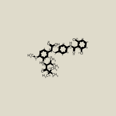 COc1ccc([C@@H](Cc2ccc(NC(=O)c3c(Cl)cccc3Cl)cc2)C(=O)O)cc1NC(C(=O)C(C)(C)C)C(C)C